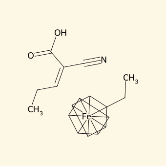 CCC=C(C#N)C(=O)O.CC[C]12[CH]3[CH]4[CH]5[CH]1[Fe]45321678[CH]2[CH]1[CH]6[CH]7[CH]28